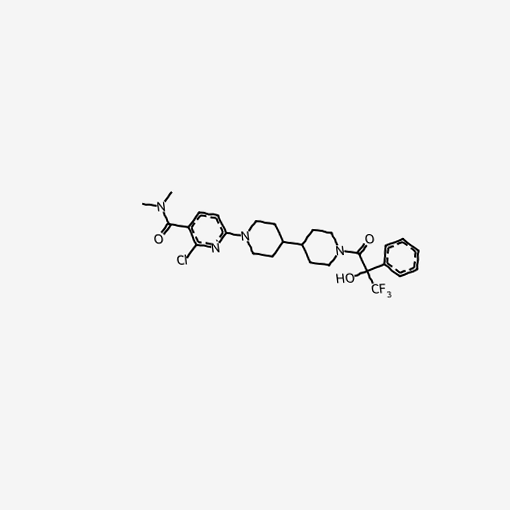 CN(C)C(=O)c1ccc(N2CCC(C3CCN(C(=O)C(O)(c4ccccc4)C(F)(F)F)CC3)CC2)nc1Cl